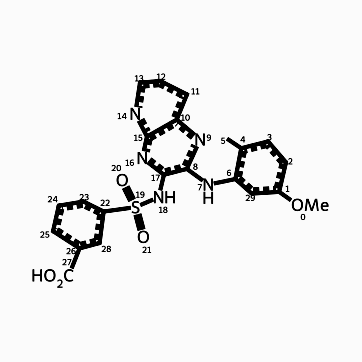 COc1ccc(C)c(Nc2nc3cccnc3nc2NS(=O)(=O)c2cccc(C(=O)O)c2)c1